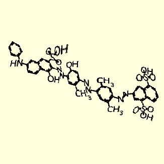 Cc1cc(N=Nc2cc(O)c(N=Nc3c(S(=O)(=O)O)cc4cc(Nc5ccccc5)ccc4c3O)cc2C)c(C)cc1N=Nc1cc(S(=O)(=O)O)c2cccc(S(=O)(=O)O)c2c1